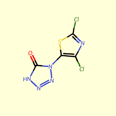 O=c1[nH]nnn1-c1sc(Cl)nc1Cl